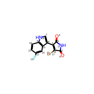 O=C1NC(=O)C(c2c[nH]c3ccc(F)cc23)=C1Br